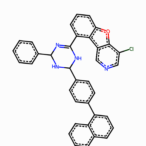 Clc1cncc2c1oc1cccc(C3=NC(c4ccccc4)NC(c4ccc(-c5cccc6ccccc56)cc4)N3)c12